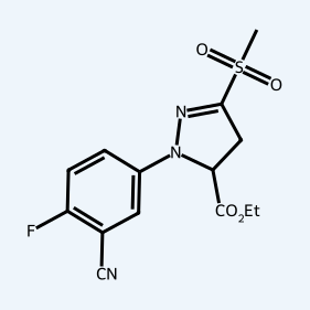 CCOC(=O)C1CC(S(C)(=O)=O)=NN1c1ccc(F)c(C#N)c1